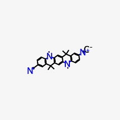 [C-]#[N+]c1ccc2c(c1)C(C)(C)c1cc3c(cc1N2C)C(C)(C)c1cc(C#N)ccc1N3C